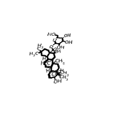 CC1(C)CC[C@]2(C(=O)O[C@H]3OC(CO)[C@H](O)C(O)C3O)C(O)C[C@]3(C)C(=CC[C@@H]4[C@@]5(C)CC[C@H](O)C(C)(C)[C@@H]5CC[C@]43C)[C@@H]2C1